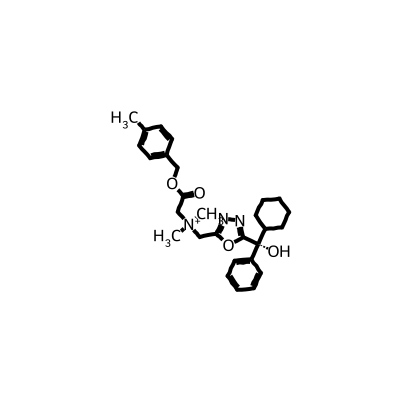 Cc1ccc(COC(=O)C[N+](C)(C)Cc2nnc([C@](O)(c3ccccc3)C3CCCCC3)o2)cc1